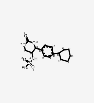 CCS(=O)(=O)NC1COC(=O)OC1c1ccc(C2CCCCC2)cc1